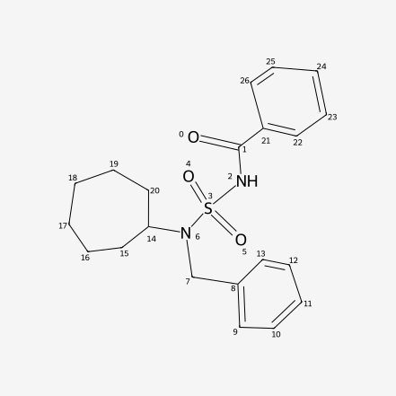 O=C(NS(=O)(=O)N(Cc1ccccc1)C1CCCCCC1)c1ccccc1